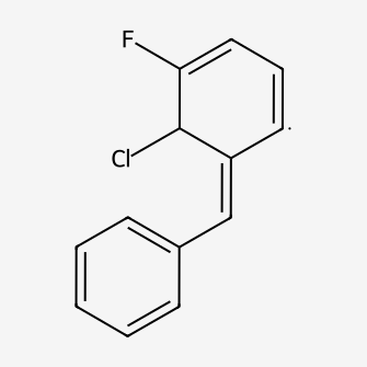 FC1=CC=[C]C(=Cc2ccccc2)C1Cl